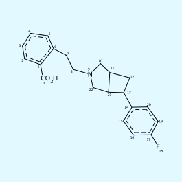 O=C(O)c1ccccc1CCN1CC2CC(c3ccc(F)cc3)C2C1